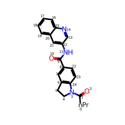 CCCC(=O)N1CCc2cc(C(=O)Nc3cnc4ccccc4c3)ccc21